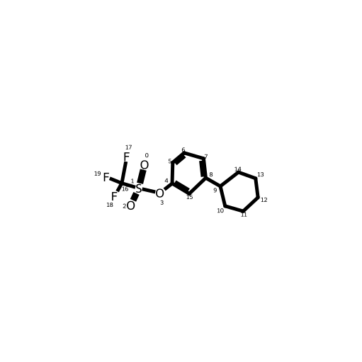 O=S(=O)(Oc1cccc(C2CCCCC2)c1)C(F)(F)F